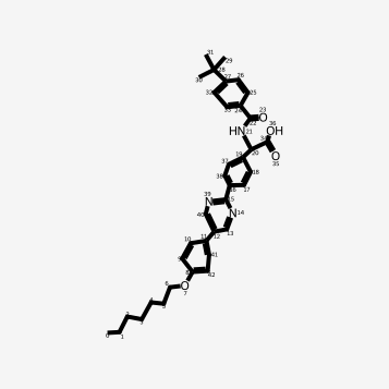 CCCCCCCOc1ccc(-c2cnc(-c3ccc(C(NC(=O)c4ccc(C(C)(C)C)cc4)C(=O)O)cc3)nc2)cc1